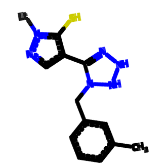 CCn1ncc(C2=NNNN2Cc2cccc(C)c2)c1S